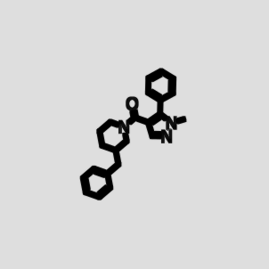 Cn1ncc(C(=O)N2CCCC(Cc3ccccc3)C2)c1-c1ccccc1